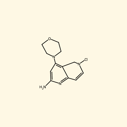 Nc1cc(N2CCOCC2)c2c(n1)C=CN(Cl)C2